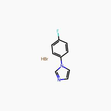 Br.Fc1ccc(-n2ccnc2)cc1